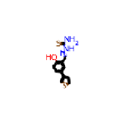 NC(=S)N/N=C/c1cc(-c2ccsc2)ccc1O